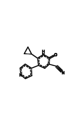 N#Cc1cc(-c2ccncc2)c(C2CC2)[nH]c1=O